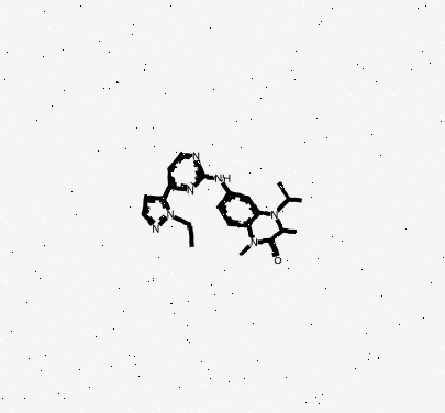 CCn1nccc1-c1ccnc(Nc2ccc3c(c2)N(C(C)C)C(C)C(=O)N3C)n1